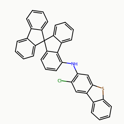 Clc1cc2c(cc1Nc1cccc3c1-c1ccccc1C31c3ccccc3-c3ccccc31)sc1ccccc12